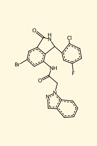 O=C(Cn1ncc2ccccc21)Nc1cc(Br)cc2c1C(c1cc(F)ccc1Cl)NC2=O